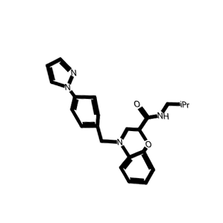 CC(C)CNC(=O)C1CN(Cc2ccc(-n3cccn3)cc2)c2ccccc2O1